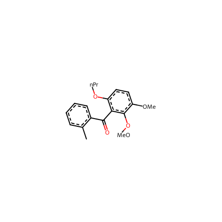 CCCOc1ccc(OC)c(OOC)c1C(=O)c1ccccc1C